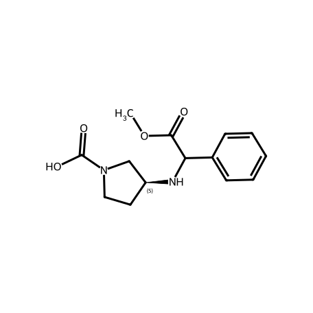 COC(=O)C(N[C@H]1CCN(C(=O)O)C1)c1ccccc1